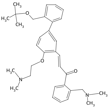 CN(C)CCOc1ccc(-c2ccccc2COC(C)(C)C)cc1C=CC(=O)c1ccccc1CN(C)C